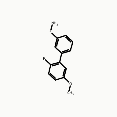 COc1ccc(F)c(-c2cccc(SN)c2)c1